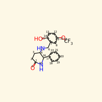 O=C1CCC(NCc2cc(OC(F)(F)F)ccc2O)C(c2ccccc2)N1